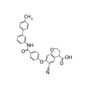 Cc1ccc(-c2cccc(NC(=O)c3ccc(Oc4cc5c(cc4C#N)C(C(=O)O)CCO5)cc3)c2)cc1